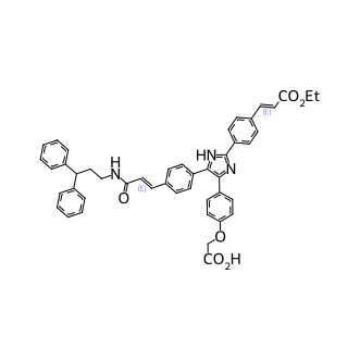 CCOC(=O)/C=C/c1ccc(-c2nc(-c3ccc(OCC(=O)O)cc3)c(-c3ccc(/C=C/C(=O)NCCC(c4ccccc4)c4ccccc4)cc3)[nH]2)cc1